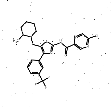 CC1CCCCN1Cc1sc(NC(=O)c2cnc(Cl)cn2)nc1-c1cccc(C(F)(F)F)c1